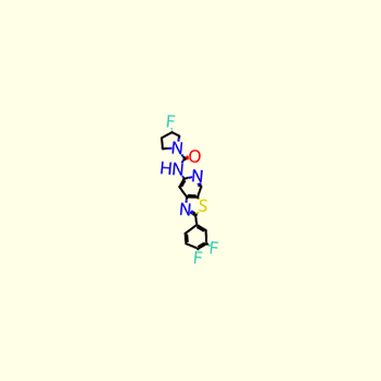 O=C(Nc1cc2nc(-c3ccc(F)c(F)c3)sc2cn1)N1CC[C@H](F)C1